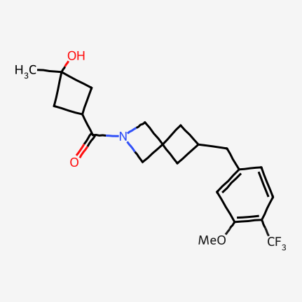 COc1cc(CC2CC3(C2)CN(C(=O)C2CC(C)(O)C2)C3)ccc1C(F)(F)F